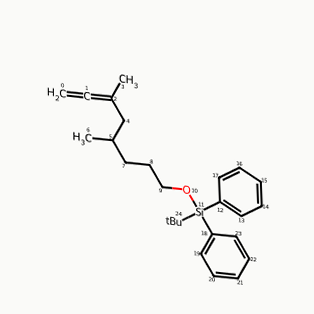 C=C=C(C)CC(C)CCCO[Si](c1ccccc1)(c1ccccc1)C(C)(C)C